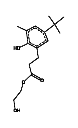 Cc1cc(C(C)(C)C)cc(CCC(=O)OCCO)c1O